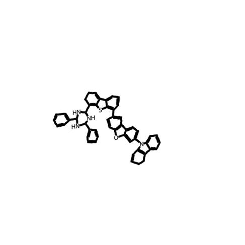 C1=Cc2c(c3ccccc3n2-c2ccc3c(c2)oc2ccc(-c4cccc5c6c(sc45)=C(C4NC(c5ccccc5)NC(c5ccccc5)N4)CCC=6)cc23)CC1